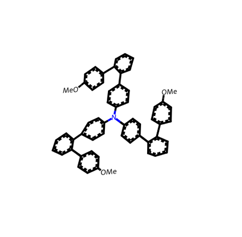 COc1ccc(-c2ccccc2-c2ccc(N(c3ccc(-c4ccccc4-c4ccc(OC)cc4)cc3)c3ccc(-c4ccccc4-c4ccc(OC)cc4)cc3)cc2)cc1